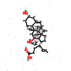 CC(CCC(=O)O)[C@H]1CC[C@H]2[C@@H]3CC=C4C[C@@H](O)CC[C@]4(C)[C@H]3C[C@H](O)[C@]12C